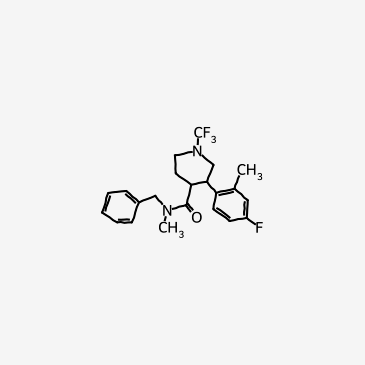 Cc1cc(F)ccc1C1CN(C(F)(F)F)CCC1C(=O)N(C)Cc1ccccc1